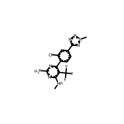 CNc1nc(N)nc(-c2ccc(-c3nnn(C)n3)cc2Cl)c1C(F)(F)F